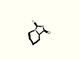 O=C1[N]C(=O)N2CCCCC12